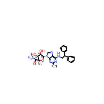 CC[C@]1(C(N)=O)O[C@@H](n2cnc3c(NCC(c4ccccc4)c4ccccc4)nc(C#N)nc32)[C@H](O)[C@@H]1O